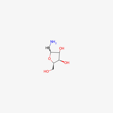 NB[C@@H]1O[C@H](CO)[C@H](O)C1O